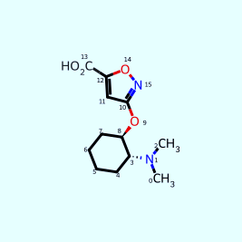 CN(C)[C@@H]1CCCC[C@H]1Oc1cc(C(=O)O)on1